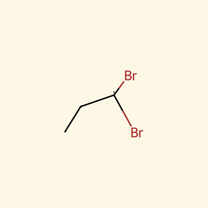 CC[C](Br)Br